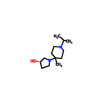 CC(C)N1CCC(C)(N2CC[C@H](O)C2)CC1